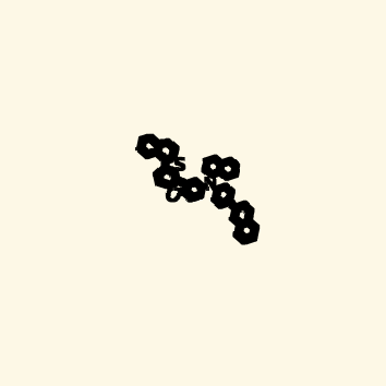 c1ccc2cc(-c3ccc(N(c4ccc5oc6ccc7c(sc8ccc9ccccc9c87)c6c5c4)c4cccc5ccccc45)cc3)ccc2c1